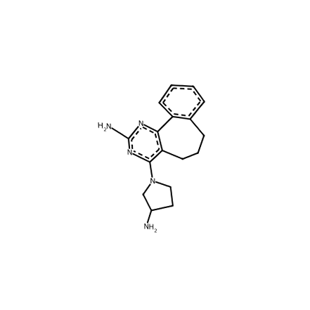 Nc1nc2c(c(N3CCC(N)C3)n1)CCCc1ccccc1-2